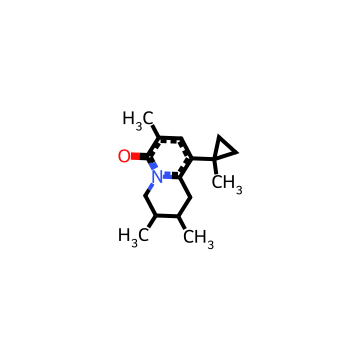 Cc1cc(C2(C)CC2)c2n(c1=O)CC(C)C(C)C2